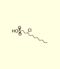 CCCCCCCCC(Cl)CCS(=O)(=O)O